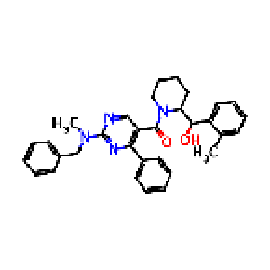 Cc1ccccc1C(O)C1CCCCN1C(=O)c1cnc(N(C)Cc2ccccc2)nc1-c1ccccc1